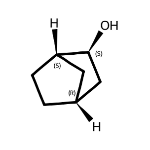 O[C@H]1C[C@@H]2CC[C@H]1C2